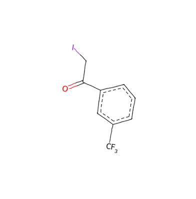 O=C(CI)c1cccc(C(F)(F)F)c1